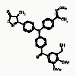 COc1cc(C(=O)c2ccc(N(c3ccc(C4=NOC(=O)C4C)cc3)c3ccc(/C(C)=N/OC(C)=O)cc3)cc2)cc(CO)c1OC(C)=O